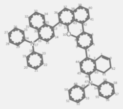 C1=Cc2c(-c3ccc4c(c3)Oc3c(-c5ccc(N(c6ccccc6)c6ccccc6)c6ccccc56)ccc5cccc-4c35)ccc(N(c3ccccc3)c3ccccc3)c2CC1